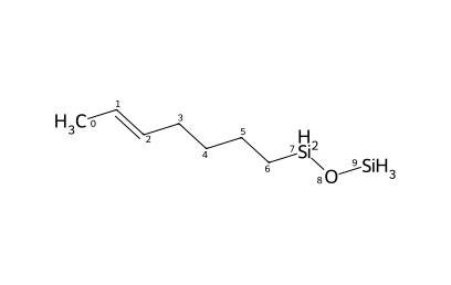 CC=CCCCC[SiH2]O[SiH3]